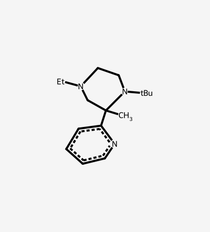 CCN1CCN(C(C)(C)C)C(C)(c2ccccn2)C1